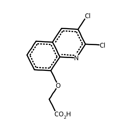 O=C(O)COc1cccc2cc(Cl)c(Cl)nc12